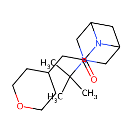 CC(C)(C)N1CC2CC(C1)N2C(=O)CC1CCOCC1